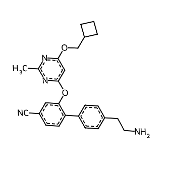 Cc1nc(OCC2CCC2)cc(Oc2cc(C#N)ccc2-c2ccc(CCN)cc2)n1